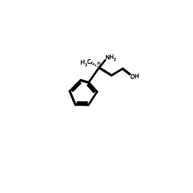 C[C@](N)(CCO)c1ccccc1